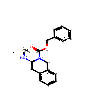 CN[C@@H]1Cc2ccccc2CN1C(=O)OCc1ccccc1